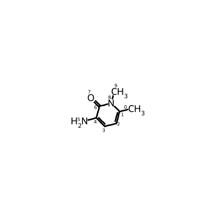 Cc1ccc(N)c(=O)n1C